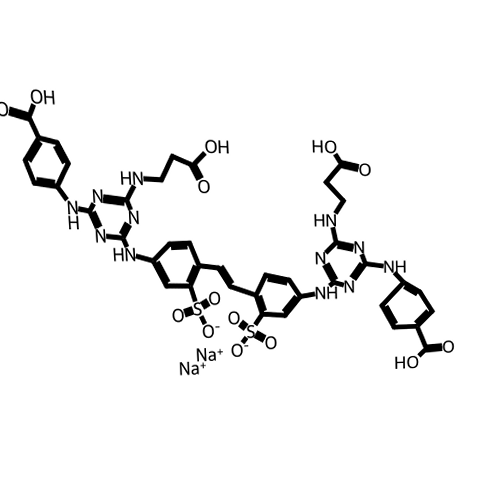 O=C(O)CCNc1nc(Nc2ccc(C(=O)O)cc2)nc(Nc2ccc(C=Cc3ccc(Nc4nc(NCCC(=O)O)nc(Nc5ccc(C(=O)O)cc5)n4)cc3S(=O)(=O)[O-])c(S(=O)(=O)[O-])c2)n1.[Na+].[Na+]